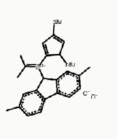 CCCCC1C=C(C(C)(C)C)C=[C]1[Zr+2](=[C](C)C)[CH]1c2cc(C)ccc2-c2ccc(C)cc21.[Cl-].[Cl-]